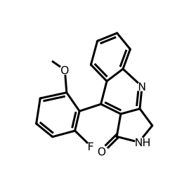 COc1cccc(F)c1-c1c2c(nc3ccccc13)CNC2=O